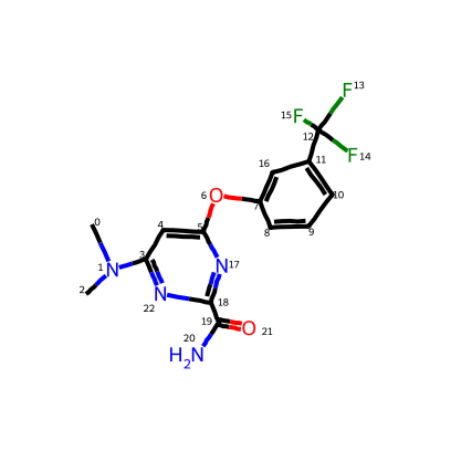 CN(C)c1cc(Oc2cccc(C(F)(F)F)c2)nc(C(N)=O)n1